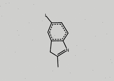 CC1=Nc2ccc(I)cc2C1